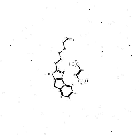 NCCCCCc1nc2c(s1)Cc1ccccc1-2.O=C(O)C=CC(=O)O